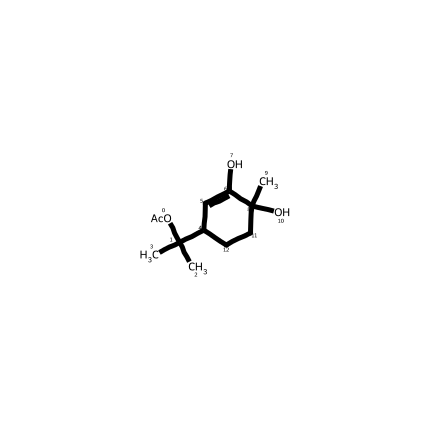 CC(=O)OC(C)(C)C1C=C(O)C(C)(O)CC1